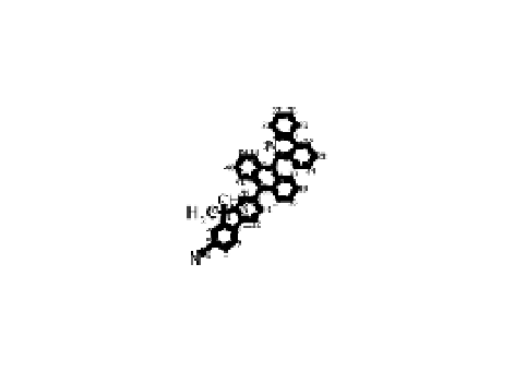 CC1(C)c2cc(C#N)ccc2-c2ccc(-c3c4ccccc4c(-c4nc5ccccc5c5ccccc45)c4ccccc34)cc21